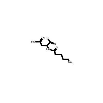 NCCCCC(=O)NC(CC(=O)O)C(=O)O